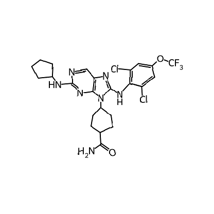 NC(=O)C1CCC(n2c(Nc3c(Cl)cc(OC(F)(F)F)cc3Cl)nc3cnc(NC4CCCC4)nc32)CC1